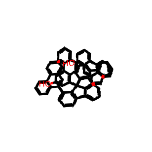 Oc1cc(C2(c3cc(O)cc4c3ccc3ccccc34)c3c(cccc3-c3cc4ccccc4c4ccccc34)-c3cccc(-c4cc5ccccc5c5ccccc45)c32)c2ccc3ccccc3c2c1